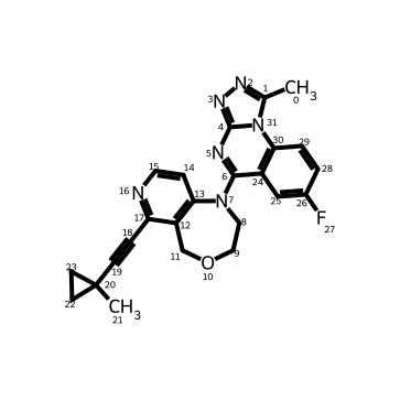 Cc1nnc2nc(N3CCOCc4c3ccnc4C#CC3(C)CC3)c3cc(F)ccc3n12